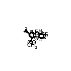 COC(=O)c1cc(C2CC2)cnc1Oc1ccc(F)cc1OC